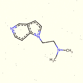 CN(C)CCn1ccc2cnccc21